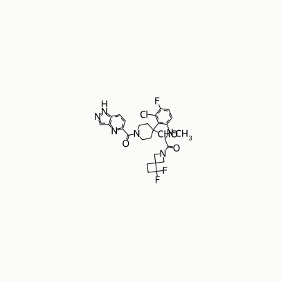 CN(CC(=O)N1CC2(CCC2(F)F)C1)c1ccc(F)c(Cl)c1C1(C=O)CCN(C(=O)c2ccc3[nH]ncc3n2)CC1